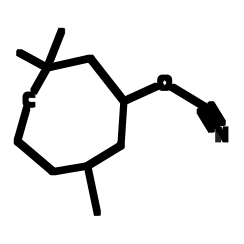 CC1CCCC(C)(C)CC(OC#N)C1